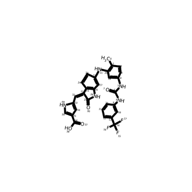 Cc1ccc(NC(=O)Nc2cccc(C(F)(F)F)c2)cc1Nc1ccc2c(c1)NC(=O)C2=Cc1cc(C(=O)O)c[nH]1